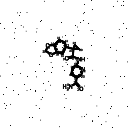 NC(=O)c1ccc(NC(=O)C2(c3ccc4c(c3)OCO4)CC2)nc1